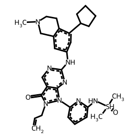 C=CCn1c(=O)c2cnc(Nc3cc4c(c(C5CCCC5)c3)CCN(C)C4)nc2n1-c1cccc(N[SH](C)(C)=O)n1